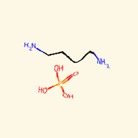 NCCCCN.O=P(O)(O)O